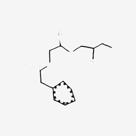 CC[C@H](C)C(CO[C@@H]([C]=O)Cc1ccccc1)NCC(N)CS